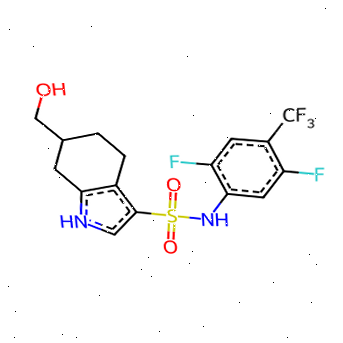 O=S(=O)(Nc1cc(F)c(C(F)(F)F)cc1F)c1c[nH]c2c1CCC(CO)C2